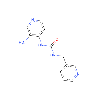 Nc1cnccc1NC(=O)NCc1cccnc1